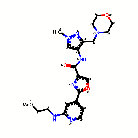 COCCNc1cc(-c2nc(C(=O)Nc3cn(C)nc3CN3CCOCC3)co2)ccn1